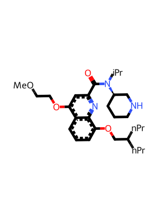 CCCC(CCC)COc1cccc2c(OCCOC)cc(C(=O)N(C(C)C)[C@@H]3CCCNC3)nc12